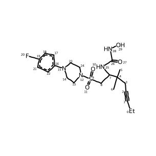 CCC#CCC(C)(C)C(CS(=O)(=O)N1CCN(c2ccc(F)cc2)CC1)NC(=O)NO